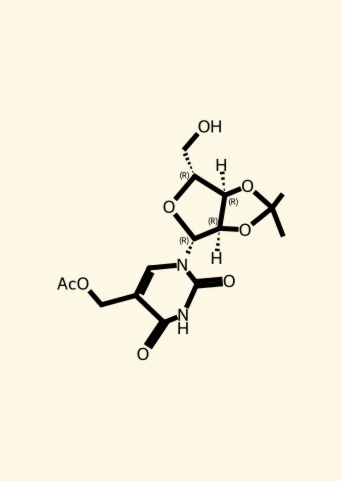 CC(=O)OCc1cn([C@@H]2O[C@H](CO)[C@H]3OC(C)(C)O[C@H]32)c(=O)[nH]c1=O